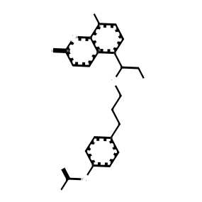 CCCCC(=O)Nc1ccc(CCCNC(CO)c2ccc(O)c3[nH]c(=O)ccc23)cc1.Cl